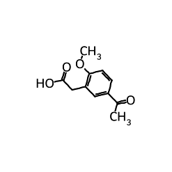 COc1ccc(C(C)=O)cc1CC(=O)O